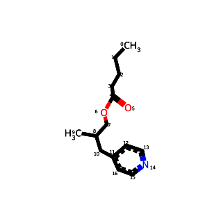 CCCCC(=O)OCC(C)Cc1ccncc1